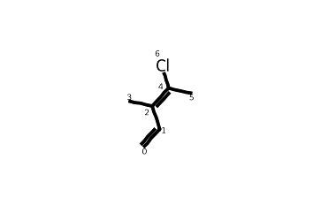 C=C/C(C)=C(\C)Cl